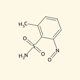 Cc1cccc(N=O)c1S(N)(=O)=O